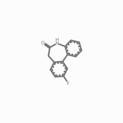 O=C1Cc2ccc(F)cc2-c2ccccc2N1